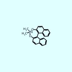 C[PH]1(C)Oc2ccc3ccccc3c2-c2c(ccc3ccccc23)O1